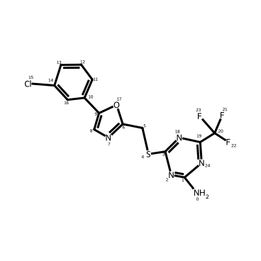 Nc1nc(SCc2ncc(-c3cccc(Cl)c3)o2)nc(C(F)(F)F)n1